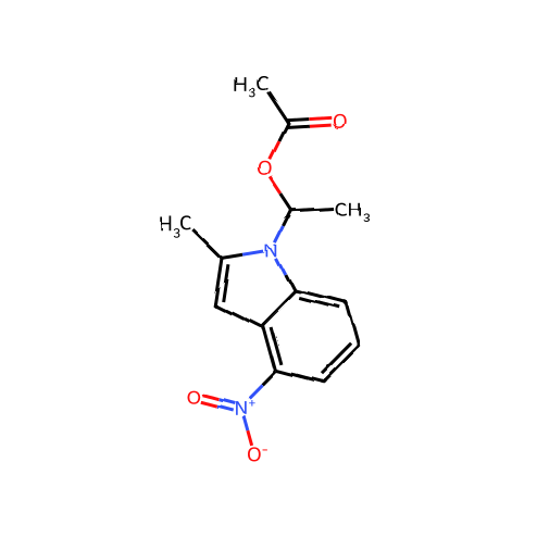 CC(=O)OC(C)n1c(C)cc2c([N+](=O)[O-])cccc21